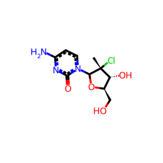 C[C@]1(Cl)C(n2ccc(N)nc2=O)O[C@H](CO)[C@H]1O